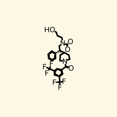 O=C1OC2(CCN(C(=O)c3cc(C(F)(F)F)cc(C(F)(F)F)c3)CC2)[C@@H](c2ccccc2)CN1CCCO